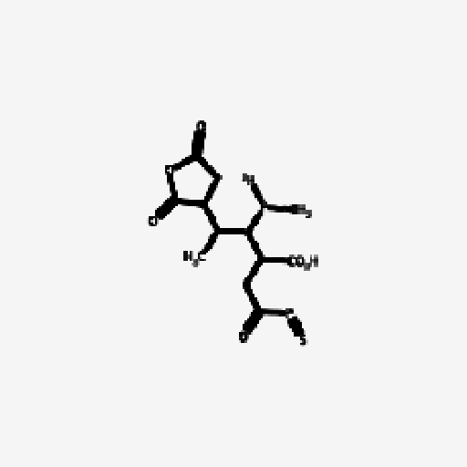 [2H]P(B)C(C(CC(=O)P=S)C(=O)O)C(C)C1CC(=O)OC1=O